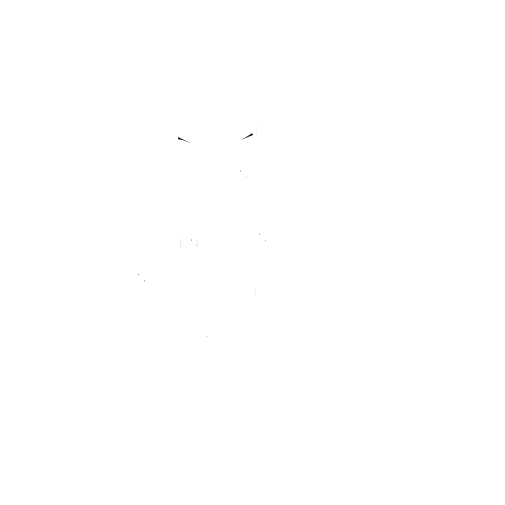 Cc1cccc(-c2sc(C)nc2C(=O)N2[C@H](CNC(=O)c3nccc4ccccc34)C[C@@H]3C[C@@H]32)c1